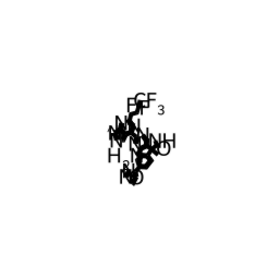 Cn1ncc2c(-c3nc(N)c4c(n3)NC(=O)C4(C)c3ccc(-c4nnco4)cc3)nc(CCC(F)(F)C(F)(F)F)nc21